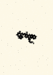 NCCCNC(=O)[C@@H](Cc1ccc2c(c1)CCCC2)NC(=O)CCCN1C(=O)CCSc2ccccc21